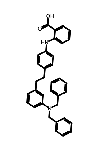 O=C(O)c1ccccc1Nc1ccc(CCc2cccc(N(Cc3ccccc3)Cc3ccccc3)c2)cc1